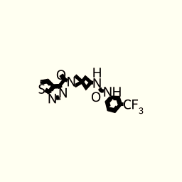 O=C(Nc1cccc(C(F)(F)F)c1)NC1CC2(C1)CN(C(=O)c1ncnc3sccc13)C2